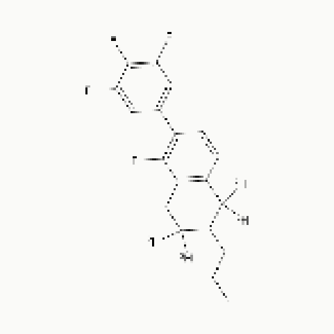 [2H]C1([2H])Cc2c(ccc(-c3cc(F)c(F)c(F)c3)c2F)C([2H])([2H])C1CCC